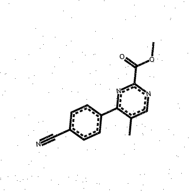 COC(=O)c1ncc(C)c(-c2ccc(C#N)cc2)n1